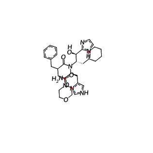 NC(=O)[C@H](Cc1c[nH]cn1)N(C(=O)C(CC(=O)N1CCOCC1)Cc1ccccc1)[C@@H](CC1CCCCC1)[C@@H](O)c1ncc[nH]1